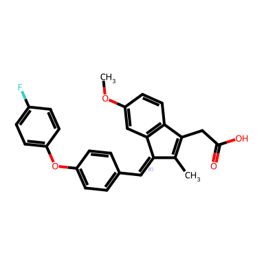 COc1ccc2c(c1)/C(=C\c1ccc(Oc3ccc(F)cc3)cc1)C(C)=C2CC(=O)O